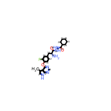 Cc1c[nH]c2ncnc(Oc3ccc(CC(N)C(=O)NNC(=O)C4CCCCC4)cc3F)c12